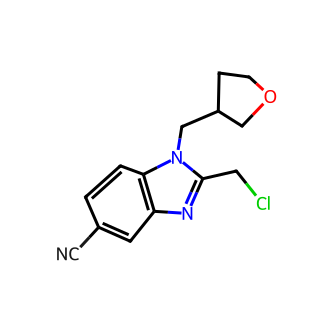 N#Cc1ccc2c(c1)nc(CCl)n2CC1CCOC1